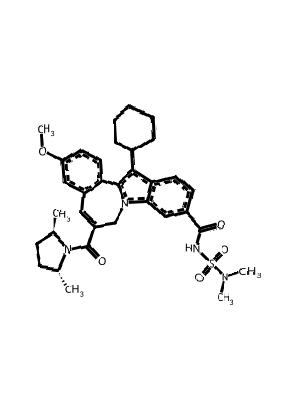 COc1ccc2c(c1)C=C(C(=O)N1[C@H](C)CC[C@H]1C)Cn1c-2c(C2CCCCC2)c2ccc(C(=O)NS(=O)(=O)N(C)C)cc21